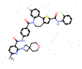 Cc1ccc(C(=O)Nc2ccc(C(=O)N3CCc4cc(C(=O)Nc5ccccc5F)sc4-c4ccc(F)cc43)cc2)c(N2CC3(CCOCC3)C2)n1